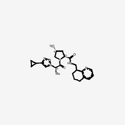 CC(C)(C)[C@H](C(=O)N1C[C@H](O)C[C@H]1C(=O)NCC1CCCc2cccnc21)n1cc(C2CC2)nn1